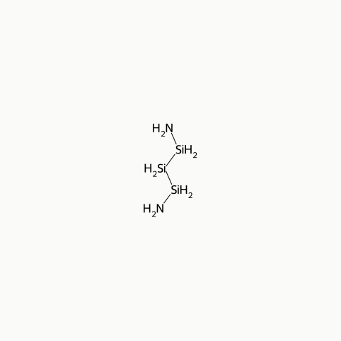 N[SiH2][SiH2][SiH2]N